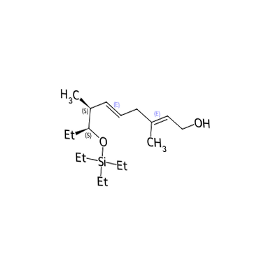 CC[C@H](O[Si](CC)(CC)CC)[C@@H](C)/C=C/C/C(C)=C/CO